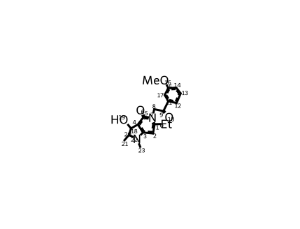 CCc1cc2c(c(=O)n1CC(=O)c1cccc(OC)c1)C(O)C(C)N2C